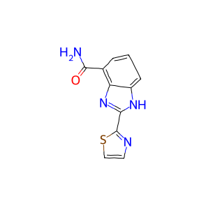 NC(=O)c1cccc2[nH]c(-c3nccs3)nc12